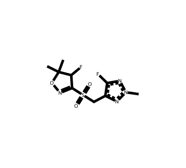 Cn1nc(F)c(CS(=O)(=O)C2=NOC(C)(C)C2F)n1